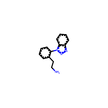 NCCc1ccccc1-n1nnc2ccccc21